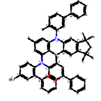 Cc1cc2c3c(c1)N(c1ccc(C(C)(C)C)cc1-c1ccccc1)c1ccc(-c4ccccc4)cc1B3c1cc3c(cc1N2c1cc(-c2ccccc2)ccc1C)C(C)(C)CC3(C)C